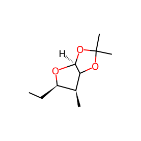 CC[C@H]1O[C@H]2OC(C)(C)OC2[C@H]1C